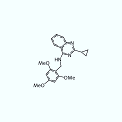 COc1cc(OC)c(CNc2nc(C3CC3)nc3ccccc23)c(OC)c1